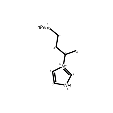 CCCCCCCC(C)[n+]1cc[nH]c1